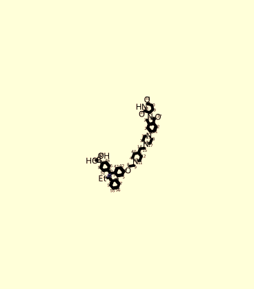 CC/C(=C(/c1ccc(OCCN2CCC(CCN3CCN(c4ccc5c(c4)CN(C4CCC(=O)NC4=O)C5=O)CC3)CC2)cc1)c1ccc(B(O)O)cc1)c1ccccc1